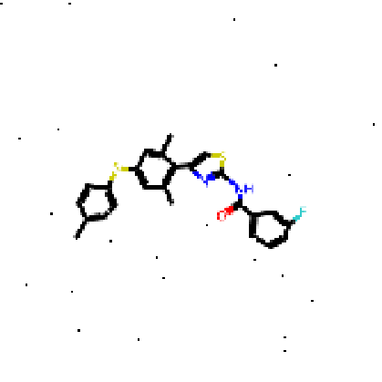 Cc1ccc(Sc2cc(C)c(-c3csc(NC(=O)c4cccc(F)c4)n3)c(C)c2)cc1